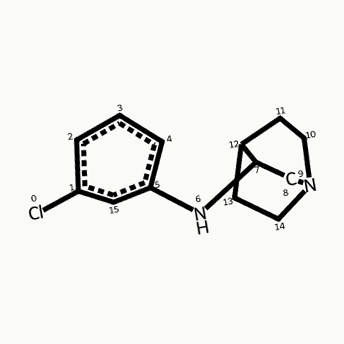 Clc1cccc(NC2CN3CCC2CC3)c1